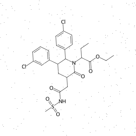 CCOC(=O)C(CC)N1C(=O)C(CC(=O)NS(C)(=O)=O)CC(c2cccc(Cl)c2)C1c1ccc(Cl)cc1